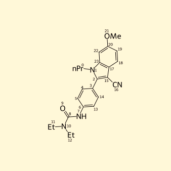 CCCn1c(-c2ccc(NC(=O)N(CC)CC)cc2)c(C#N)c2ccc(OC)cc21